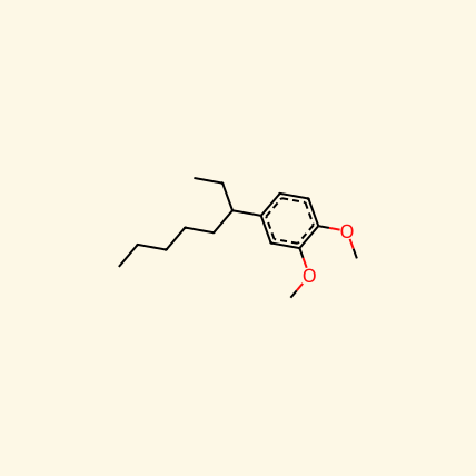 CCCCCC(CC)c1ccc(OC)c(OC)c1